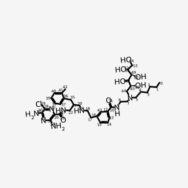 CCCCCCN(CCNC(=O)c1cccc(CCNCC(CNC(=O)c2nc(Cl)c(N)nc2N)Cc2ccccc2C)c1)C[C@H](O)[C@@H](O)[C@H](O)[C@H](O)CO